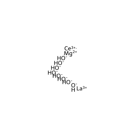 [Ce+3].[La+3].[Mg+2].[OH-].[OH-].[OH-].[OH-].[OH-].[OH-].[OH-].[OH-]